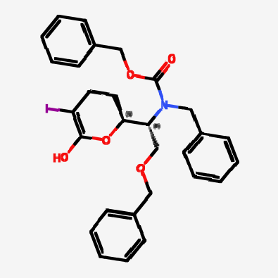 O=C(OCc1ccccc1)N(Cc1ccccc1)[C@H](COCc1ccccc1)[C@@H]1CCC(I)=C(O)O1